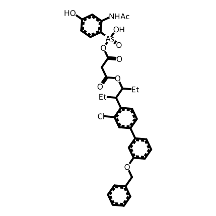 CCC(OC(=O)CC(=O)O[As](=O)(O)c1ccc(O)cc1NC(C)=O)C(CC)c1ccc(-c2cccc(OCc3ccccc3)c2)cc1Cl